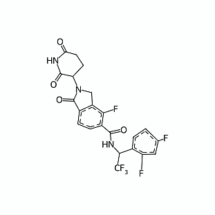 O=C1CCC(N2Cc3c(ccc(C(=O)NC(c4ccc(F)cc4F)C(F)(F)F)c3F)C2=O)C(=O)N1